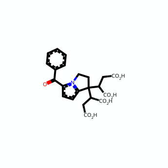 O=C(O)CC(C(=O)O)C1(C(CC(=O)O)C(=O)O)CCn2c(C(=O)c3ccccc3)ccc21